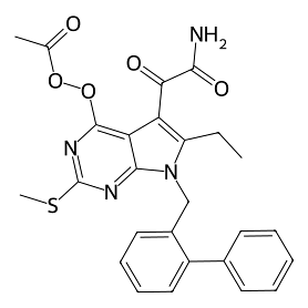 CCc1c(C(=O)C(N)=O)c2c(OOC(C)=O)nc(SC)nc2n1Cc1ccccc1-c1ccccc1